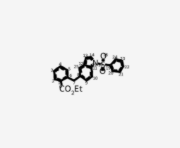 CCOC(=O)c1ccccc1Cc1ccc2c(ccn2S(=O)(=O)c2ccccc2)c1